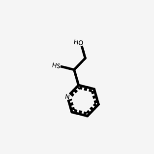 OCC(S)c1ccccn1